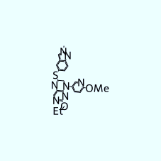 CCOc1ncc2c(n1)N(c1ccc(OC)nc1)CC(Sc1ccc3nn(C)cc3c1)=N2